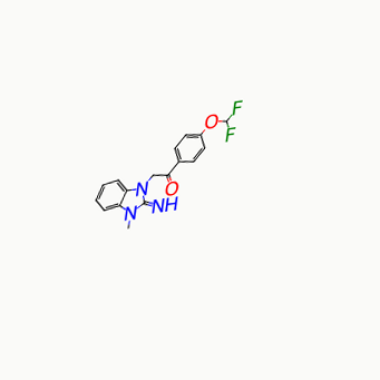 Cn1c(=N)n(CC(=O)c2ccc(OC(F)F)cc2)c2ccccc21